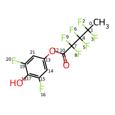 CC(F)(F)C(F)(F)C(F)(F)C(=O)Oc1cc(F)c(O)c(F)c1